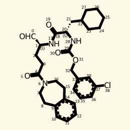 O=C[C@H](CCC(=O)N1CCc2ccccc2CC1)NC(=O)[C@H](CC1CCCCC1)NC(=O)OCc1cccc(Cl)c1